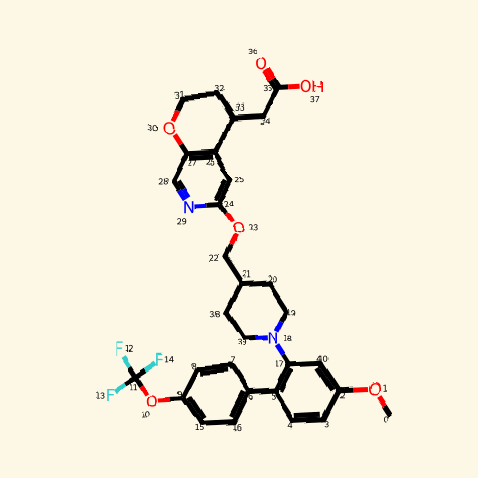 COc1ccc(-c2ccc(OC(F)(F)F)cc2)c(N2CCC(COc3cc4c(cn3)OCCC4CC(=O)O)CC2)c1